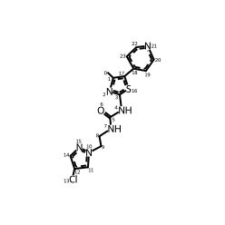 Cc1nc(NC(=O)NCCn2cc(Cl)cn2)sc1-c1ccncc1